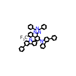 FC(F)(F)c1cccc(-c2ccc(-n3c4ccccc4c4cc(-c5ccccc5)ccc43)cc2-c2nc(-c3ccccc3)nc(-c3ccccc3)n2)c1-n1c2ccccc2c2cc(-c3ccccc3)ccc21